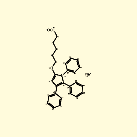 O=C([O-])CCCCCOc1nc(-c2ccccc2)c(-c2ccccc2)n1-c1ccccc1.[Na+]